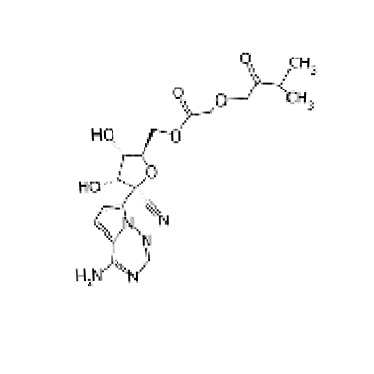 CC(C)C(=O)COCC(=O)OC[C@H]1O[C@@](C#N)(c2ccc3c(N)ncnn23)[C@H](O)[C@@H]1O